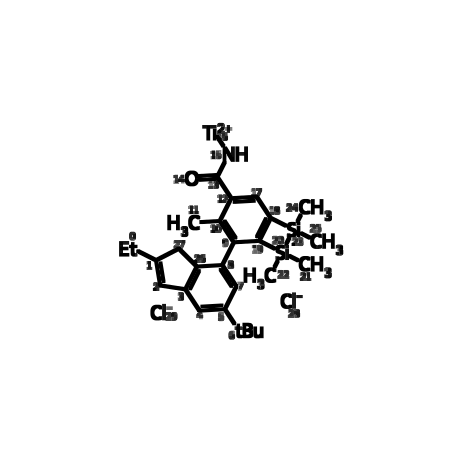 CCC1=Cc2cc(C(C)(C)C)cc(-c3c(C)c(C(=O)[NH][Ti+2])cc4c3[Si](C)(C)[Si]4(C)C)c2C1.[Cl-].[Cl-]